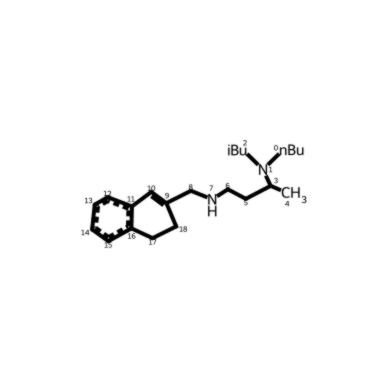 CCCCN(C(C)CC)C(C)CCNCC1=Cc2ccccc2CC1